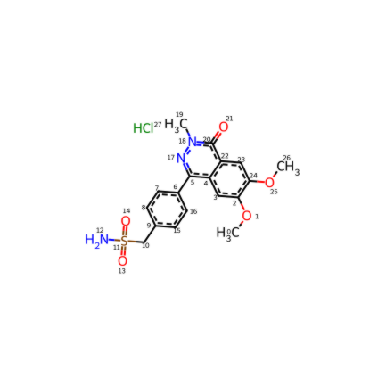 COc1cc2c(-c3ccc(CS(N)(=O)=O)cc3)nn(C)c(=O)c2cc1OC.Cl